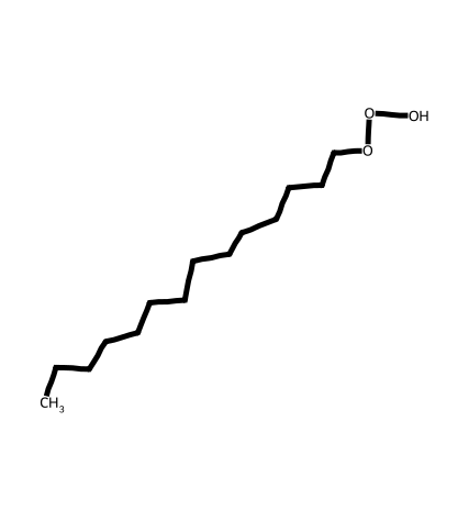 CCCCCCCCCCCCCCOOO